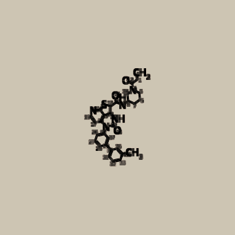 C=CC(=O)N1CCC[C@@H](NC(=O)c2sc3nccc4c3c2NC(=O)N4c2cccc(-c3cccc(C)c3)c2)C1